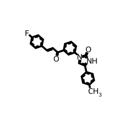 Cc1ccc(-c2cn(-c3cccc(C(=O)C=Cc4ccc(F)cc4)c3)c(=O)[nH]2)cc1